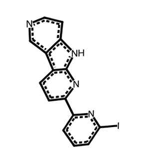 Ic1cccc(-c2ccc3c(n2)[nH]c2ccncc23)n1